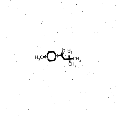 [CH2]C(C)(C)CC(=O)N1CCN(C)CC1